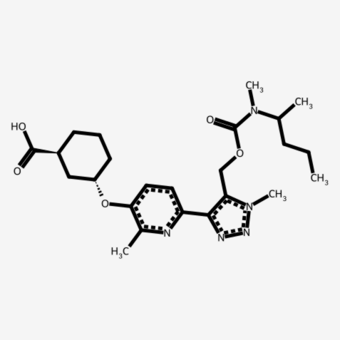 CCCC(C)N(C)C(=O)OCc1c(-c2ccc(O[C@H]3CCC[C@H](C(=O)O)C3)c(C)n2)nnn1C